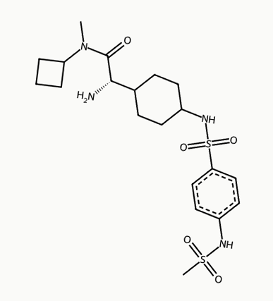 CN(C(=O)[C@@H](N)C1CCC(NS(=O)(=O)c2ccc(NS(C)(=O)=O)cc2)CC1)C1CCC1